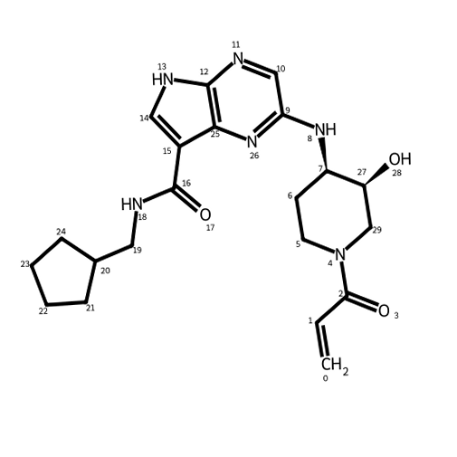 C=CC(=O)N1CC[C@@H](Nc2cnc3[nH]cc(C(=O)NCC4CCCC4)c3n2)[C@@H](O)C1